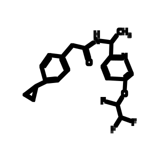 CC(NC(=O)Cc1ccc(C2CC2)cc1)c1ccc(OC(F)C(F)F)cn1